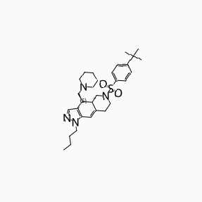 CCCCn1ncc2c1C=C1CCN(S(=O)(=O)c3ccc(C(C)(C)C)cc3)CC1[C@@H]2CN1CCCCC1